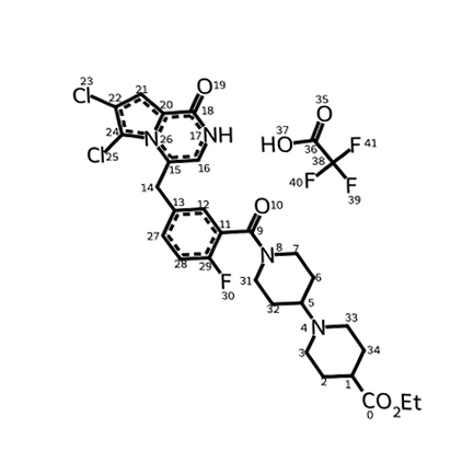 CCOC(=O)C1CCN(C2CCN(C(=O)c3cc(Cc4c[nH]c(=O)c5cc(Cl)c(Cl)n45)ccc3F)CC2)CC1.O=C(O)C(F)(F)F